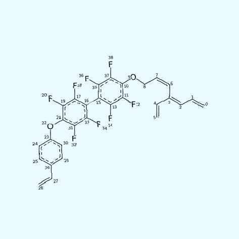 C=C/C=C(C=C)\C=C/COc1c(F)c(F)c(-c2c(F)c(F)c(Oc3ccc(C=C)cc3)c(F)c2F)c(F)c1F